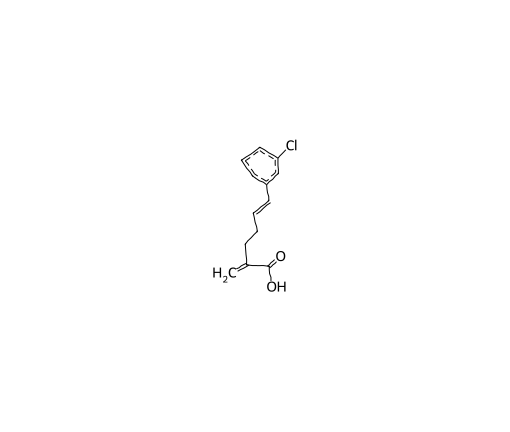 C=C(CCC=Cc1cccc(Cl)c1)C(=O)O